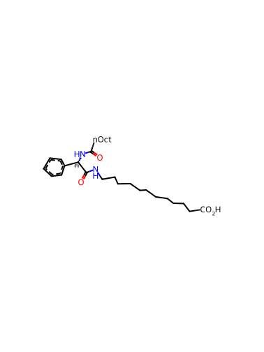 CCCCCCCCC(=O)N[C@@H](C(=O)NCCCCCCCCCCCC(=O)O)c1ccccc1